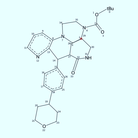 CC(C)(C)OC(=O)N1CCN(c2cccnc2C(c2ccc(C3CCOCC3)cc2)C2CCCNC2=O)CC1